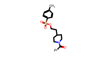 Cc1ccc(S(=O)(=O)OCCC2CCN(C(=O)C(C)C)CC2)cc1